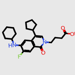 O=C(O)CCCn1cc(C2CCCC2)c2cc(NC3CCCCC3)c(F)cc2c1=O